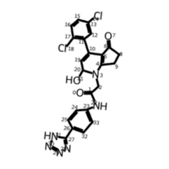 O=C(CN1C2=C(C(=O)CC2)C(c2cc(Cl)ccc2Cl)=CC1O)Nc1ccc(-c2nnn[nH]2)cc1